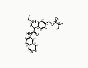 CCNCC(C(=O)Nc1ccc2cnccc2c1)c1ccc(COC(=O)C(C)C)cc1